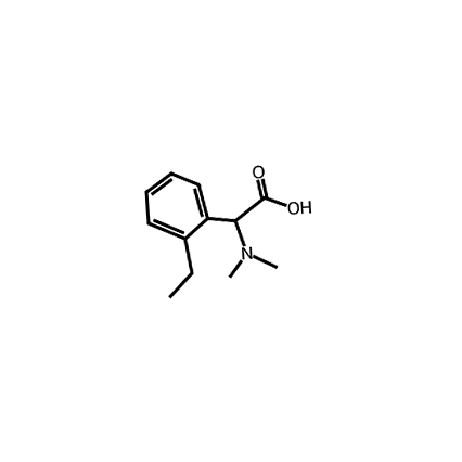 CCc1ccccc1C(C(=O)O)N(C)C